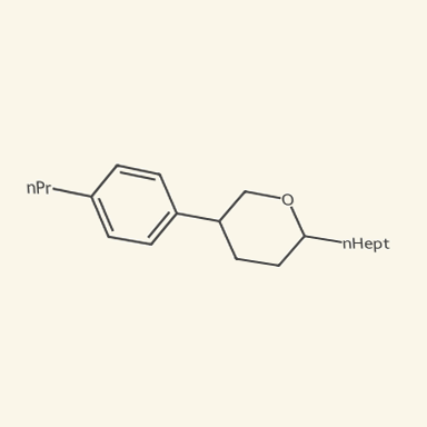 CCCCCCCC1CCC(c2ccc(CCC)cc2)CO1